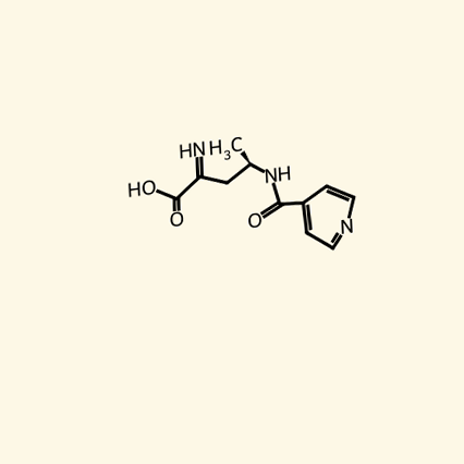 C[C@H](CC(=N)C(=O)O)NC(=O)c1ccncc1